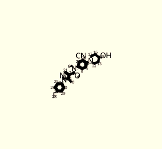 Cc1c(C(=O)N(C)c2ccc(N3CCC(O)CC3)c(C#N)c2)cnn1-c1ccc(F)cc1